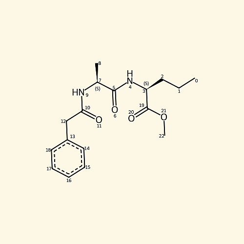 CCC[C@H](NC(=O)[C@H](C)NC(=O)Cc1ccccc1)C(=O)OC